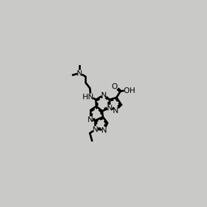 CCn1ncc2c1ncc1c(NCCCN(C)C)nc3c(C(=O)O)cnn3c12